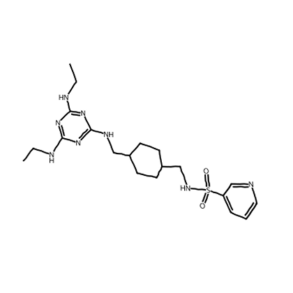 CCNc1nc(NCC)nc(NCC2CCC(CNS(=O)(=O)c3cccnc3)CC2)n1